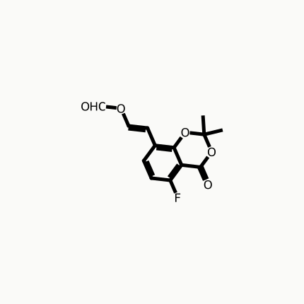 CC1(C)OC(=O)c2c(F)ccc(/C=C/OC=O)c2O1